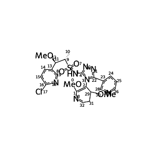 COC1=C(n2c(NS(=O)(=O)[C@@H](C)[C@H](OC)c3ccc(Cl)nc3)nnc2-c2cccnc2)C(OC)CC=N1